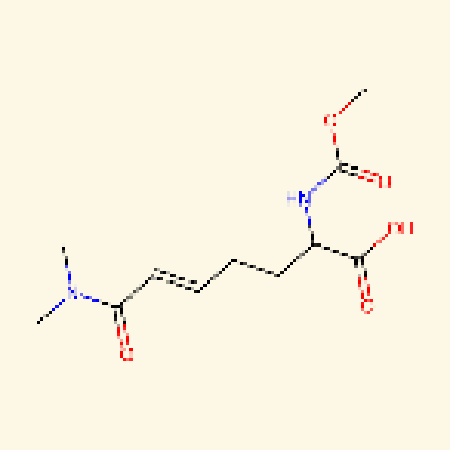 COC(=O)NC(CC/C=C/C(=O)N(C)C)C(=O)O